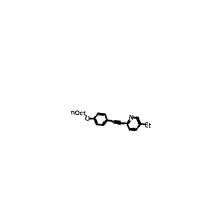 CCCCCCCCOc1ccc(C#Cc2ccc(CC)cn2)cc1